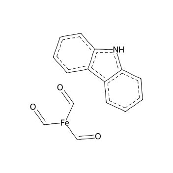 O=[CH][Fe]([CH]=O)[CH]=O.c1ccc2c(c1)[nH]c1ccccc12